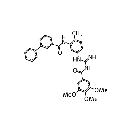 COc1cc(C(=O)NC(=N)Nc2ccc(C)c(NC(=O)c3cccc(-c4ccccc4)c3)c2)cc(OC)c1OC